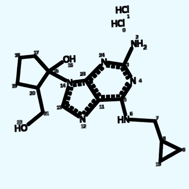 Cl.Cl.Nc1nc(NCC2CC2)c2ncn(C3(O)CCCC3CO)c2n1